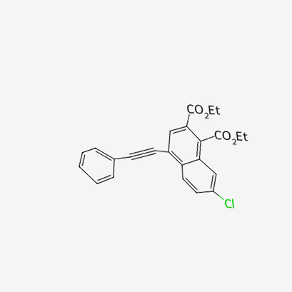 CCOC(=O)c1cc(C#Cc2ccccc2)c2ccc(Cl)cc2c1C(=O)OCC